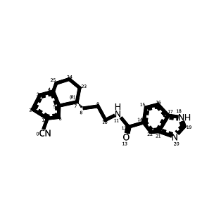 N#Cc1ccc2c(c1)[C@@H](CCCNC(=O)c1ccc3[nH]cnc3c1)CCC2